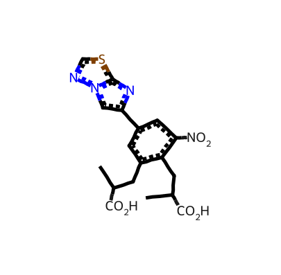 CC(Cc1cc(-c2cn3ncsc3n2)cc([N+](=O)[O-])c1CC(C)C(=O)O)C(=O)O